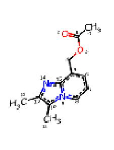 CC(=O)OCc1cccn2c(C)c(C)nc12